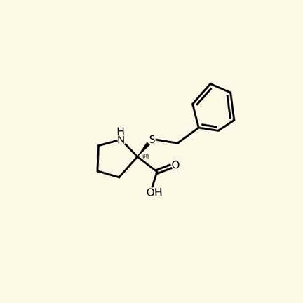 O=C(O)[C@]1(SCc2ccccc2)CCCN1